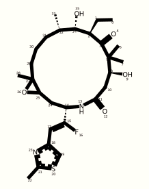 CC[C@H]1C(=O)C(C)(C)[C@@H](O)CC(=O)N[C@H](C(F)=Cc2csc(C)n2)CC2OC2(C)CCC[C@H](C)[C@@H]1O